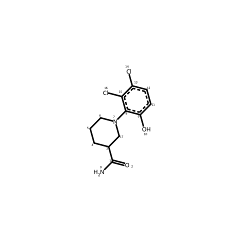 NC(=O)C1CCCN(c2c(O)ccc(Cl)c2Cl)C1